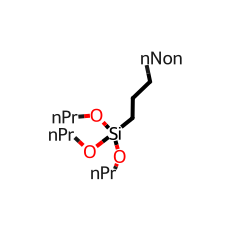 CCCCCCCCCCCC[Si](OCCC)(OCCC)OCCC